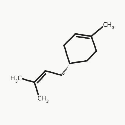 CC(C)=CC[C@@H]1CC=C(C)CC1